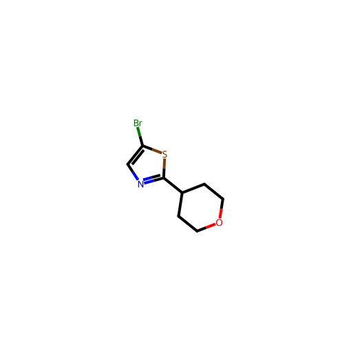 Brc1cnc(C2CCOCC2)s1